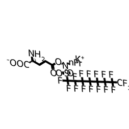 CCCN(OC(=O)CC[C@H](N)C(=O)[O-])S(=O)(=O)C(F)(F)C(F)(F)C(F)(F)C(F)(F)C(F)(F)C(F)(F)C(F)(F)C(F)(F)F.[K+]